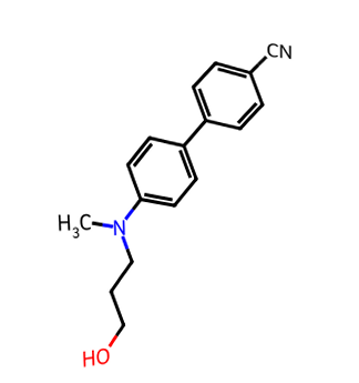 CN(CCCO)c1ccc(-c2ccc(C#N)cc2)cc1